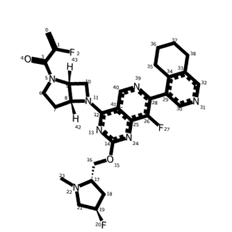 C=C(F)C(=O)N1CC[C@@H]2[C@H]1CN2c1nc(OC[C@@H]2C[C@@H](F)CN2C)nc2c(F)c(-c3cncc4c3CCCC4)ncc12